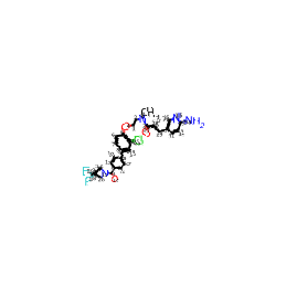 CN(CCOc1ccc(-c2ccc(C(=O)N3CC(F)(F)C3)cc2)cc1Cl)C(=O)/C=C/c1ccc(N)nc1